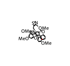 COC(=O)[C@H]1C[C@@]2(NCCc3scnc3C)c3c(OC)cc(OC)cc3O[C@@]2(c2ccc(OC)cc2)[C@@H]1c1ccccc1